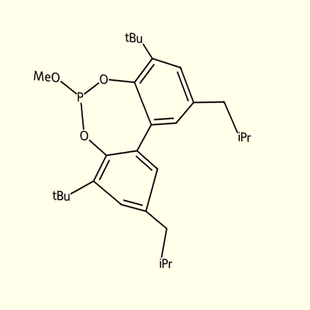 COp1oc2c(C(C)(C)C)cc(CC(C)C)cc2c2cc(CC(C)C)cc(C(C)(C)C)c2o1